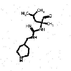 CC(C)CC(C)(C=O)NC(=N)NCC1CCNCC1